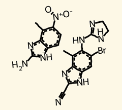 Cc1c(NC2=NCCN2)c(Br)cc2[nH]c(C#N)nc12.Cc1c([N+](=O)[O-])ccc2[nH]c(N)nc12